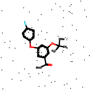 COC(=O)c1cc(Oc2ccc(F)cc2)cc(OC(C)(C)OC)c1